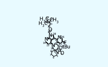 CC(C)(C)OC(=O)N1CCCCC12CCCN(c1ccnc3c1c(-c1ccc(F)cn1)cn3COCC[Si](C)(C)C)C2